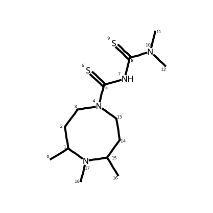 CC1CCN(C(=S)NC(=S)N(C)C)CCC(C)N1C